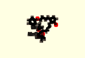 COC(=O)C(CC=C=CC[C@H]1C(=O)CC[C@@H]1/C=C/CCOc1ccccc1)(O[Si](C)(C)C(C)(C)C)O[Si](C)(C)C(C)(C)C